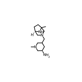 CN1CC(CN2C[C@H]3CCC(C)(C2)N3)C[C@@H](N)C1